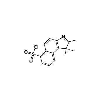 CC1=Nc2ccc3c(S(=O)(=O)Cl)cccc3c2C1(C)C